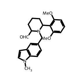 COc1cccc(OC)c1C1CCCC(C=O)N1Cc1ccc2c(ccn2C)c1